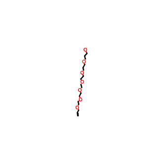 C=CCOCCOCCOCCOCCOCCCOCCCOC